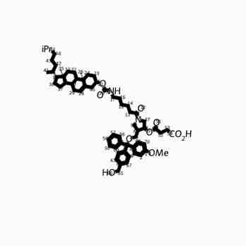 COc1ccc(C(OCC2CN(C(=O)CCCCCNC(=O)OC3CC[C@@]4(C)C(=CCC5C4CC[C@@]4(C)C5CC[C@@H]4C(C)CCCC(C)C)C3)CC2OC(=O)CCC(=O)O)(c2ccccc2)c2ccc(CO)cc2)cc1